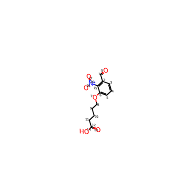 O=Cc1cccc(OCCCCC(=O)O)c1[N+](=O)[O-]